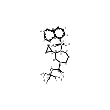 CC(C)(C)OC(=O)N1CCCN(S(=O)(=O)c2cccc3cnccc23)[C@H](C2CC2)C1